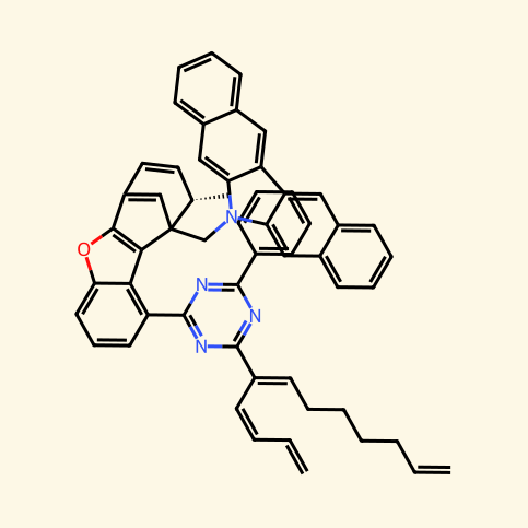 C=C/C=C\C(=C/CCCCC=C)c1nc(-c2ccccc2)nc(-c2cccc3oc4c(c23)C2(Cn3c5cc6ccccc6cc5c5cc6ccccc6cc53)C=C4C=C[C@@H]2C)n1